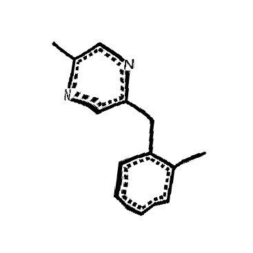 Cc1cnc(Cc2ccccc2C)cn1